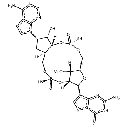 CO[C@H]1[C@H]2O[P@@](=O)(S)OC[C@H]3C[C@@H](n4ccc5c(N)ncnc54)[C@H](O)[C@@H]3O[P@](=O)(S)OC[C@H]1O[C@H]2n1cnc2c(=O)[nH]c(N)nc21